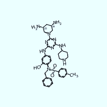 Cc1ccc(S(=O)(=O)N(Cc2ccccc2)c2ccc(Nc3nc(NC4CCNCC4)nc(N4C[C@H](N)C[C@H](N)C4)n3)cc2O)cc1